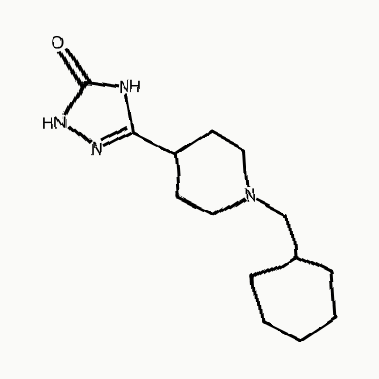 O=c1[nH]nc(C2CCN(CC3CCCCC3)CC2)[nH]1